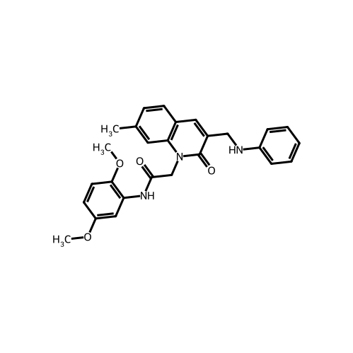 COc1ccc(OC)c(NC(=O)Cn2c(=O)c(CNc3ccccc3)cc3ccc(C)cc32)c1